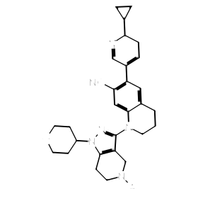 CC(=O)N1CCc2c(c(N3CCCc4cc(C5=CCC(C6CC6)N=C5)c(C#N)cc43)nn2C2CCOCC2)C1